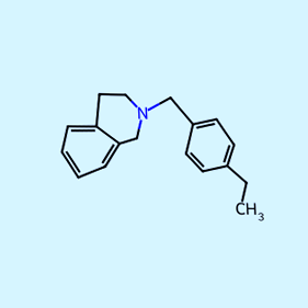 CCc1ccc(CN2CCc3ccccc3C2)cc1